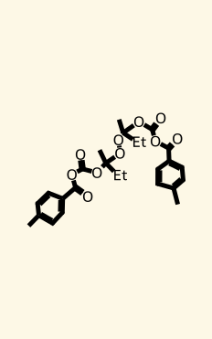 CCC(C)(OOC(C)(CC)OC(=O)OC(=O)c1ccc(C)cc1)OC(=O)OC(=O)c1ccc(C)cc1